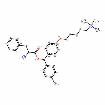 Cc1ccc(C(OC(=O)C(N)Cc2ccccc2)c2ccc(OCCCCC[N+](C)(C)C)cc2)cc1